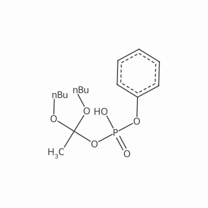 CCCCOC(C)(OCCCC)OP(=O)(O)Oc1ccccc1